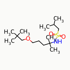 CC(C)CS(=O)(=O)NC(C)(C)CCCOCC(C)(C)C